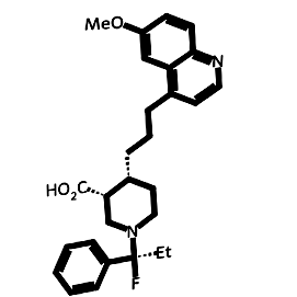 CC[C@](F)(c1ccccc1)N1CC[C@@H](CCCc2ccnc3ccc(OC)cc23)[C@@H](C(=O)O)C1